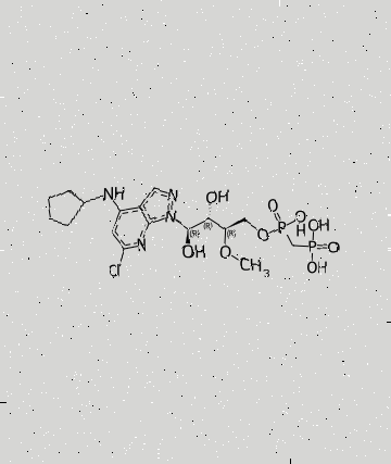 CO[C@H](COP(=O)(O)CP(=O)(O)O)[C@@H](O)[C@@H](O)n1ncc2c(NC3CCCC3)cc(Cl)nc21